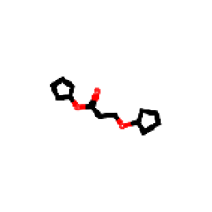 O=C(CCOC1CCCC1)OC1CCCC1